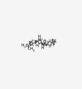 CC(C)n1cc(-c2ccc3c(NC(=O)Nc4ccc(C(F)(F)F)cc4)c[nH]c3n2)cn1